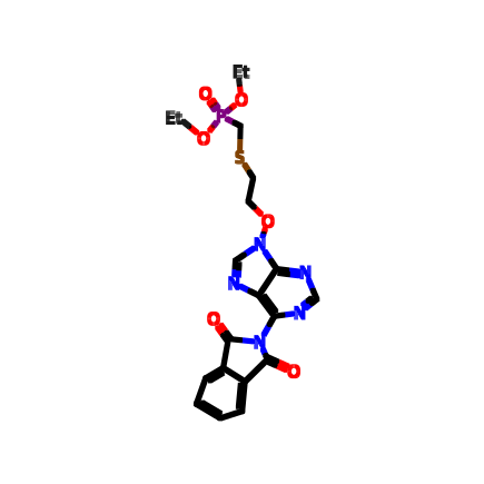 CCOP(=O)(CSCCOn1cnc2c(N3C(=O)c4ccccc4C3=O)ncnc21)OCC